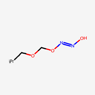 CC(C)COCON=NO